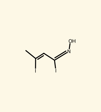 C/C(I)=C/C(I)=N\O